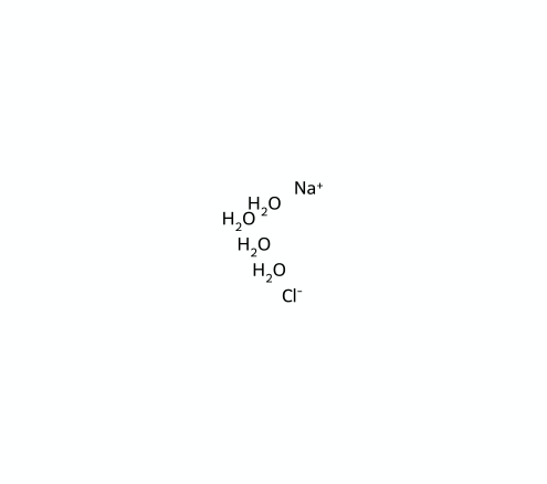 O.O.O.O.[Cl-].[Na+]